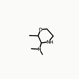 CC1OCCNC1N(C)C